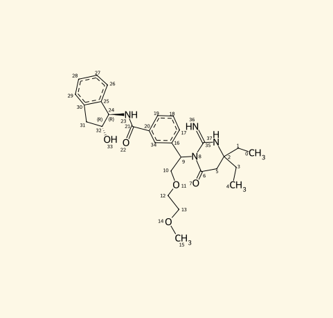 CCC1(CC)CC(=O)N(C(COCCOC)c2cccc(C(=O)N[C@@H]3c4ccccc4C[C@H]3O)c2)C(=N)N1